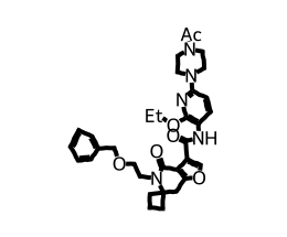 CCOc1nc(N2CCN(C(C)=O)CC2)ccc1NC(=O)c1coc2c1C(=O)N(CCOCc1ccccc1)C1(CCC1)C2